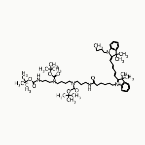 CCCCN1/C(=C/C=C/C=C/C2=[N+](CCCCCC(=O)NCCCN(CCCCN(CCCNC(=O)OC(C)(C)C)C(=O)OC(C)(C)C)C(=O)OC(C)(C)C)c3ccccc3C2(C)C)C(C)(C)c2ccccc21